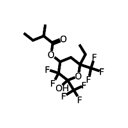 CCC(C)C(=O)OC1CC(CC)(C(F)(F)F)OC(O)(C(F)(F)F)C1(F)F